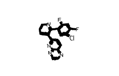 Fc1cc(F)c(-c2ncccc2-c2ccc3nccnc3n2)cc1Cl